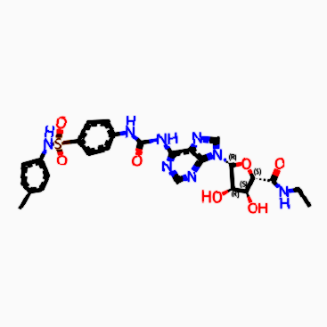 CCNC(=O)[C@H]1O[C@@H](n2cnc3c(NC(=O)Nc4ccc(S(=O)(=O)Nc5ccc(C)cc5)cc4)ncnc32)[C@H](O)[C@@H]1O